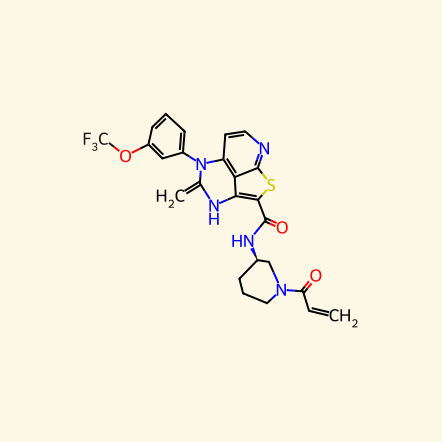 C=CC(=O)N1CCC[C@@H](NC(=O)c2sc3nccc4c3c2[nH]c(=C)n4-c2cccc(OC(F)(F)F)c2)C1